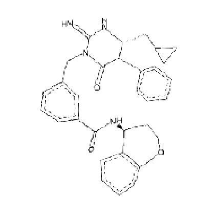 N=C1N[C@H](CC2CC2)C(c2ccccc2)C(=O)N1Cc1cccc(C(=O)N[C@H]2CCOc3ccccc32)c1